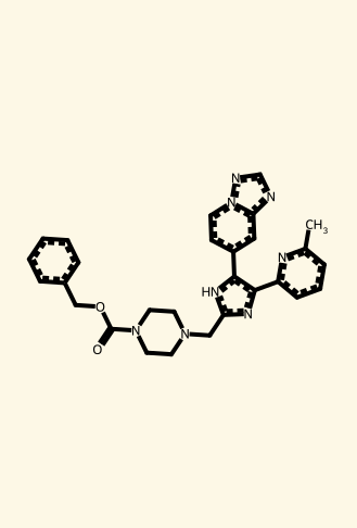 Cc1cccc(-c2nc(CN3CCN(C(=O)OCc4ccccc4)CC3)[nH]c2-c2ccn3ncnc3c2)n1